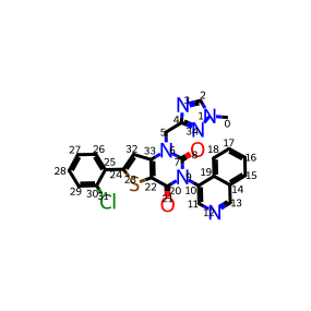 Cn1cnc(Cn2c(=O)n(-c3cncc4ccccc34)c(=O)c3sc(-c4ccccc4Cl)cc32)n1